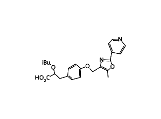 CCC(C)OC(Cc1ccc(OCc2nc(-c3ccncc3)oc2C)cc1)C(=O)O